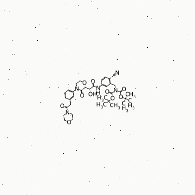 CC(C)(C)OC(=O)N(Cc1cc(NC(=O)[C@H](O)[C@H]2OCCN(c3cccc(CC(=O)N4CCOCC4)c3)C2=O)ccc1C#N)C(=O)OC(C)(C)C